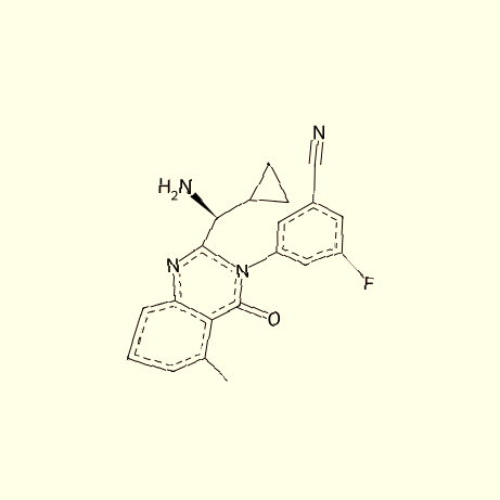 Cc1cccc2nc([C@@H](N)C3CC3)n(-c3cc(F)cc(C#N)c3)c(=O)c12